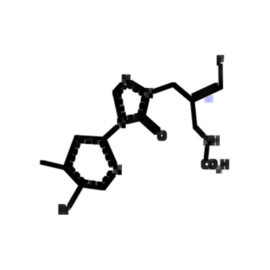 Cc1cc(-n2cnn(C/C(=C\F)CNC(=O)O)c2=O)ncc1Br